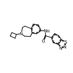 O=C(Nc1ccc2c(c1)CCN(C1CCC1)CC2)c1ccc2snnc2c1